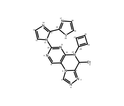 CCC1c2nncn2-c2cnc(-n3ccnc3-c3nccs3)nc2N1C1=CC=C1